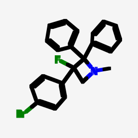 CN1CC(F)(c2ccc(Br)cc2)C1(c1ccccc1)c1ccccc1